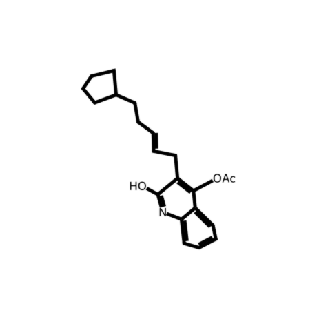 CC(=O)Oc1c(C/C=C/CCC2CCCC2)c(O)nc2ccccc12